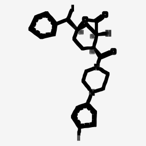 O=C1O[C@@]2(C(I)c3ccccc3)CC[C@H](C(=O)N3CCN(c4ccc(I)cc4)CC3)[C@@H]1C2